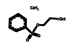 CCCCCCCCCCOS(=O)(=O)c1ccccc1.[CaH2]